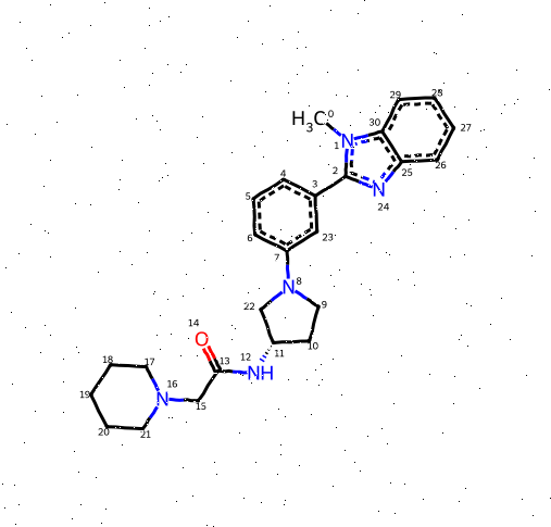 Cn1c(-c2cccc(N3CC[C@H](NC(=O)CN4CCCCC4)C3)c2)nc2ccccc21